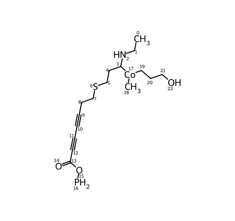 CCN[CH](CCSCCC#CC#CC(=O)OP)[Co]([CH3])[CH2]CCO